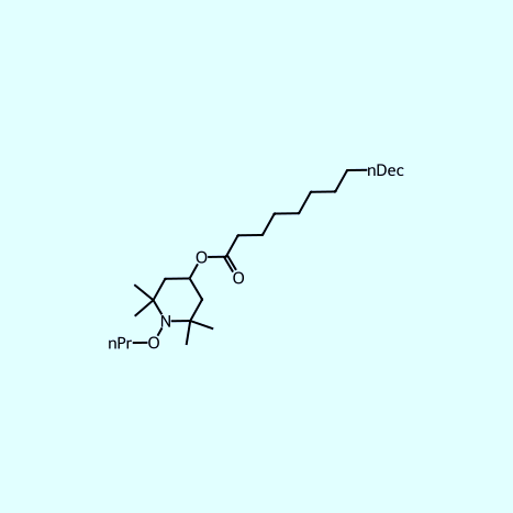 CCCCCCCCCCCCCCCCCC(=O)OC1CC(C)(C)N(OCCC)C(C)(C)C1